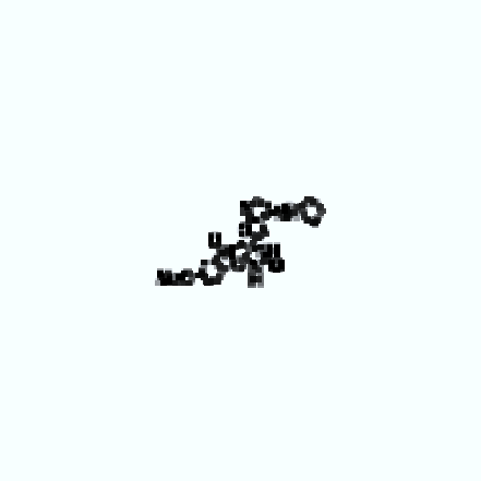 COc1ccc2c(c1)C(=O)N(C[C@@]1(c3cc4c(NCc5ccccc5)ccnc4o3)NC(=O)NC1=O)C2